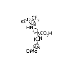 COc1ncc(-c2cnc(N(C(=O)O)[C@H]3CC[C@H](Nc4ncc(C(F)(F)F)c(OC5COC5)n4)CC3)cn2)cn1